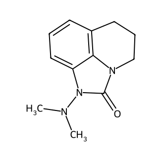 CN(C)n1c(=O)n2c3c(cccc31)CCC2